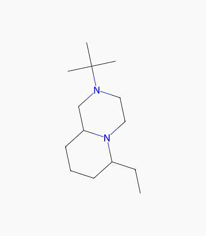 CCC1CCCC2CN(C(C)(C)C)CCN12